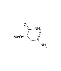 COC(CC(N)=O)C(N)=O